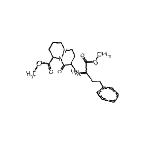 COC(=O)C(CCc1ccccc1)NC1CCN2CCCC(C(=O)OC)N2C1=O